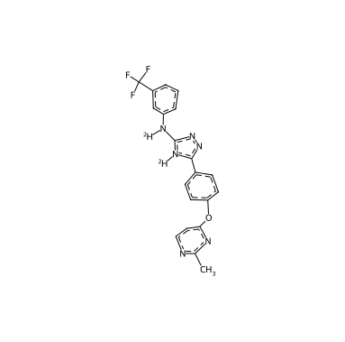 [2H]N(c1cccc(C(F)(F)F)c1)c1nnc(-c2ccc(Oc3ccnc(C)n3)cc2)n1[2H]